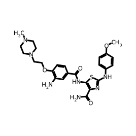 COc1ccc(Nc2nc(C(N)=O)c(NC(=O)c3ccc(OCCN4CCN(C)CC4)c(N)c3)s2)cc1